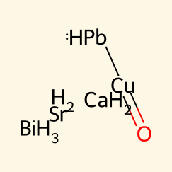 [BiH3].[CaH2].[O]=[Cu][PbH].[SrH2]